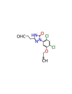 C#CCOc1cc(-n2nc(CCC=O)[nH]c2=O)c(Cl)cc1Cl